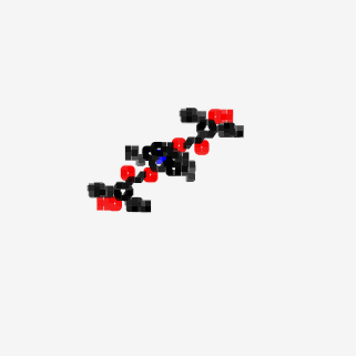 CC(C)(C)c1cc(C(=O)CCOCCN2C(C)(C)CC(OCCC(=O)c3cc(C(C)(C)C)c(O)c(C(C)(C)C)c3)CC2(C)C)cc(C(C)(C)C)c1O